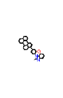 Cc1nc2cccc3c2n1-c1ccc(-c2ccc4c5cccc6cccc(c7cccc2c74)c65)cc1O3